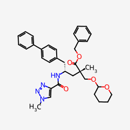 Cn1cc(C(=O)N[C@H](Cc2ccc(-c3ccccc3)cc2)C[C@@](C)(COC2CCCCO2)C(=O)OCc2ccccc2)nn1